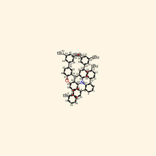 CC(C)(C)c1ccc(-c2cccc(-c3ccc(C(C)(C)C)cc3)c2N2c3ccc(-c4cc(C(C)(C)C)cc(C(C)(C)C)c4)cc3B3c4cc(-c5cc(C(C)(C)C)cc(C(C)(C)C)c5)ccc4Oc4cc(-c5ccccc5)cc2c43)cc1